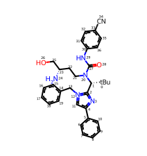 CC(C)(C)[C@H](c1nc(-c2ccccc2)cn1Cc1ccccc1)N(CC[C@H](N)CO)C(=O)Nc1ccc(C#N)cc1